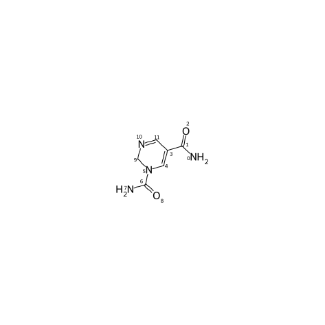 NC(=O)C1=CN(C(N)=O)CN=C1